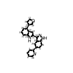 c1ccc(-c2ccc3[nH]nc(-c4cc5c(-c6ccoc6)cccc5[nH]4)c3c2)nc1